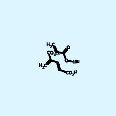 C=C(C=CC(=O)O)C(=O)OCC.C=CC(=O)OC(C)(C)C